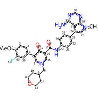 COc1ccc(-c2cn(CC3CCOCC3)cc(C(=O)Nc3ccc(-c4cn(C)c5ncnc(N)c45)cc3)c2=O)cc1F